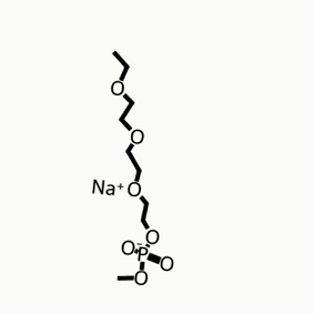 CCOCCOCCOCCOP(=O)([O-])OC.[Na+]